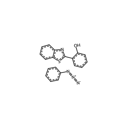 Oc1ccccc1-c1nc2ccccc2s1.[N-]=[N+]=Nc1ccccc1